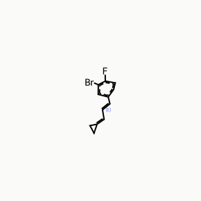 Fc1ccc(/C=C/C=C2CC2)cc1Br